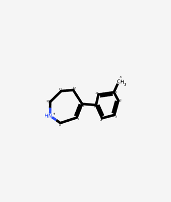 Cc1cccc(C2=CCNCCC2)c1